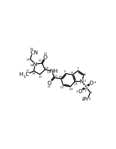 CC(C)CS(=O)(=O)n1ccc2cc(C(=O)NC3CC(C)N(CC#N)C3=O)ccc21